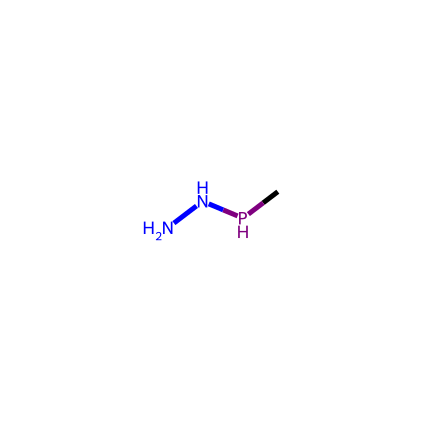 CPNN